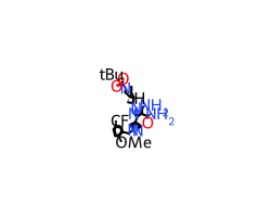 COc1ccc(C(F)(F)F)cc1Cn1cc(-c2nn([C@@H]3C[C@]45CN(C(=O)OC(C)(C)C)CC4[C@H]35)c(N)c2C(N)=O)cn1